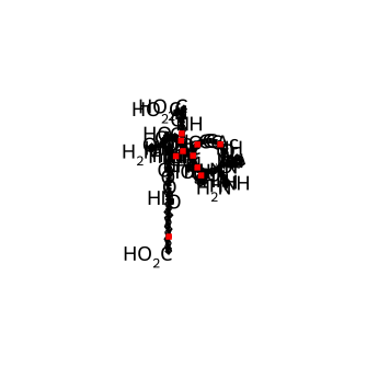 CCCC[C@H](NC(=O)[C@H](CCCCNC(=O)CN(CC(=O)O)CC(=O)O)NC(=O)[C@H](CO)NC(=O)[C@H](CCC(N)=O)NC(=O)[C@H](CO)NC(=O)CNC(=O)COCCOCCNC(=O)CCCCCCCCCCCCCCC(=O)O)C(=O)N[C@H]1CCC(=O)CCCCC[C@@H](C(C)=O)NC(=O)[C@H](Cc2c[nH]c3ccccc23)NC(=O)[C@H](CCCNC(=N)N)NC(=O)[C@@H](Cc2ccccc2)NC(=O)[C@@H]2C[C@@H](O)CN2C1=O